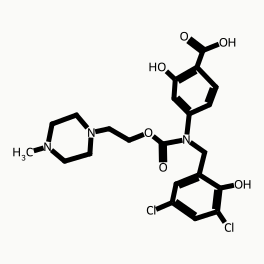 CN1CCN(CCOC(=O)N(Cc2cc(Cl)cc(Cl)c2O)c2ccc(C(=O)O)c(O)c2)CC1